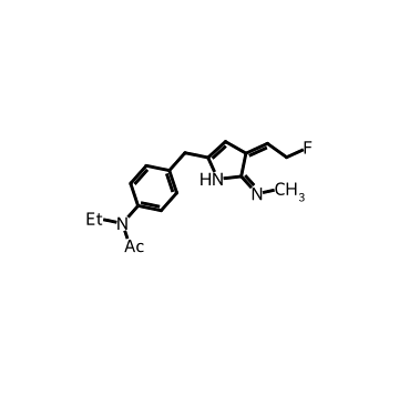 CCN(C(C)=O)c1ccc(CC2=CC(=C/CF)/C(=N\C)N2)cc1